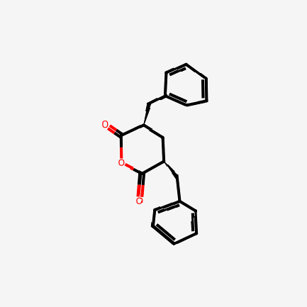 O=C1OC(=O)[C@@H](Cc2ccccc2)C[C@H]1Cc1ccccc1